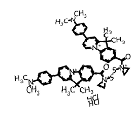 CN(C)c1ccc(-c2cc[n+]3c(c2)C(C)(C)c2cc(C(=O)[N+]4(SS[N+]5(C(=O)c6ccc7c(c6)C(C)(C)c6cc(-c8ccc(N(C)C)cc8)cc[n+]6-7)CC5)CC4)ccc2-3)cc1.Cl.Cl